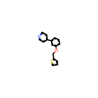 c1cc(OCc2cccs2)cc(-c2ccncc2)c1